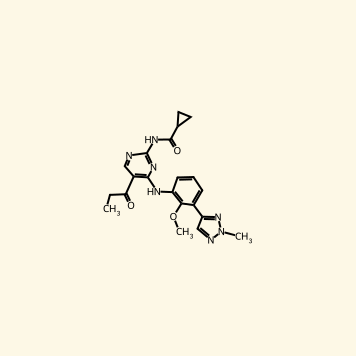 CCC(=O)c1cnc(NC(=O)C2CC2)nc1Nc1cccc(-c2cnn(C)n2)c1OC